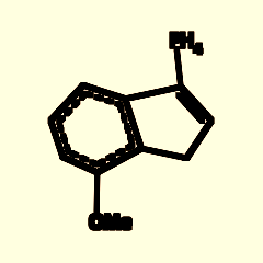 COc1cccc2c1CC=C2[PH4]